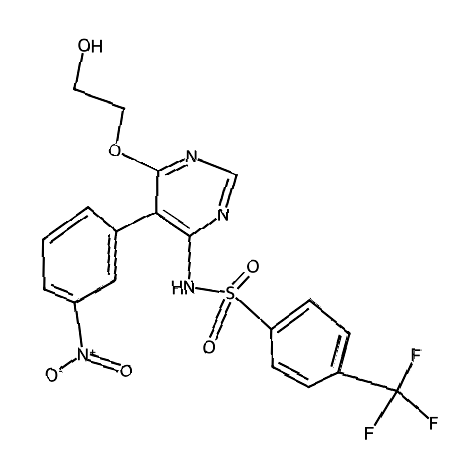 O=[N+]([O-])c1cccc(-c2c(NS(=O)(=O)c3ccc(C(F)(F)F)cc3)ncnc2OCCO)c1